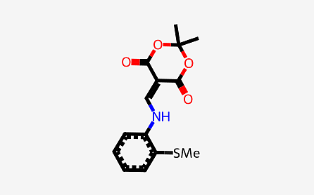 CSc1ccccc1NC=C1C(=O)OC(C)(C)OC1=O